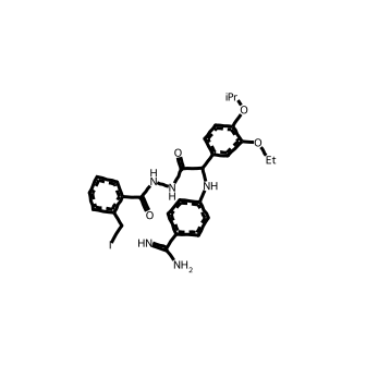 CCOc1cc(C(Nc2ccc(C(=N)N)cc2)C(=O)NNC(=O)c2ccccc2CI)ccc1OC(C)C